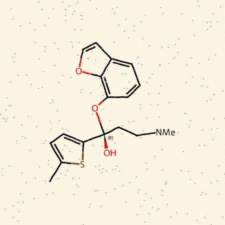 CNCC[C@@](O)(Oc1cccc2ccoc12)c1ccc(C)s1